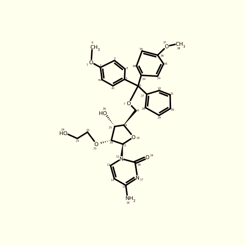 COc1ccc(C(OC[C@H]2O[C@@H](n3ccc(N)nc3=O)[C@H](OCCO)[C@@H]2O)(c2ccccc2)c2ccc(OC)cc2)cc1